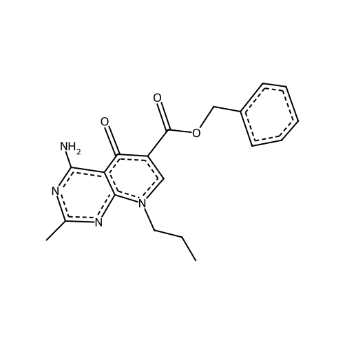 CCCn1cc(C(=O)OCc2ccccc2)c(=O)c2c(N)nc(C)nc21